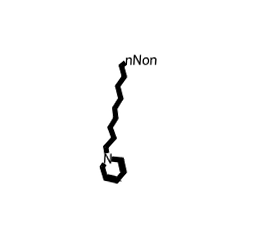 CCCCCCCCCCCCCCCCCCN1C=C[C]=CC1